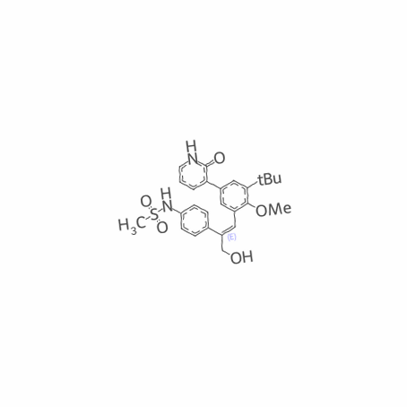 COc1c(/C=C(/CO)c2ccc(NS(C)(=O)=O)cc2)cc(-c2ccc[nH]c2=O)cc1C(C)(C)C